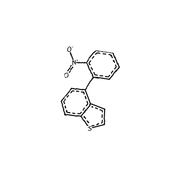 O=[N+]([O-])c1ccccc1-c1cccc2sccc12